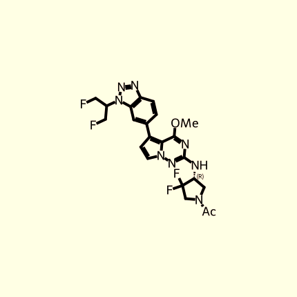 COc1nc(N[C@@H]2CN(C(C)=O)CC2(F)F)nn2ccc(-c3ccc4nnn(C(CF)CF)c4c3)c12